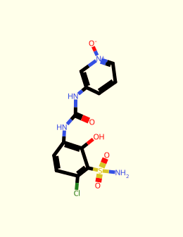 NS(=O)(=O)c1c(Cl)ccc(NC(=O)Nc2ccc[n+]([O-])c2)c1O